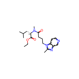 CCOC(=O)[C@H](CC(C)C)N(C)C(=O)CCCn1c(C)nc2cnccc21